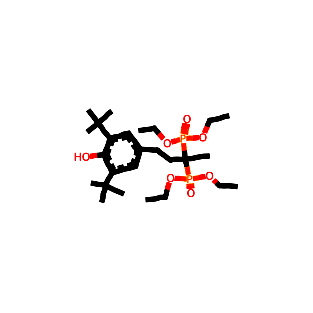 CCOP(=O)(OCC)C(C)(CCc1cc(C(C)(C)C)c(O)c(C(C)(C)C)c1)P(=O)(OCC)OCC